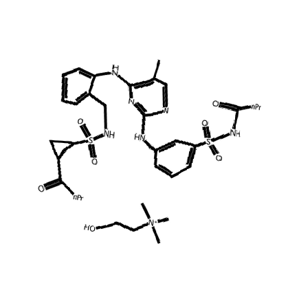 CCCC(=O)NS(=O)(=O)c1cccc(Nc2ncc(C)c(Nc3ccccc3CNS(=O)(=O)C3CC3C(=O)CCC)n2)c1.C[N+](C)(C)CCO